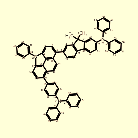 CC1(C)c2cc(-c3ccc4c5c3ccc3c(-c6ccc(N(c7ccccc7)c7ccccc7)cc6)ccc(c35)n4-c3ccccc3)ccc2-c2ccc(N(c3ccccc3)c3ccccc3)cc21